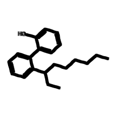 CCCCCCC(CC)c1ccccc1-c1ccccc1O